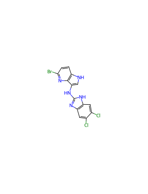 Clc1cc2nc(Nc3c[nH]c4ccc(Br)nc34)[nH]c2cc1Cl